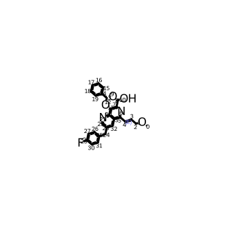 COC/C=C/c1nc(C(=O)O)c(OCc2ccccc2)c2ncc(Cc3ccc(F)cc3)cc12